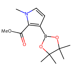 COC(=O)c1c(B2OC(C)(C)C(C)(C)O2)ccn1C